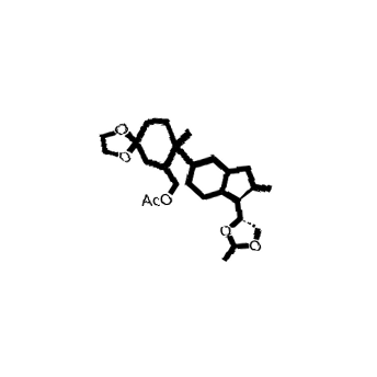 CC(=O)OCC1CC2(CCC1(C)C1CCC3C(CC(C)[C@H]3[C@@H]3COC(C)O3)C1)OCCO2